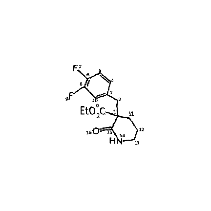 CCOC(=O)C1(Cc2ccc(F)c(F)c2)CCCNC1=O